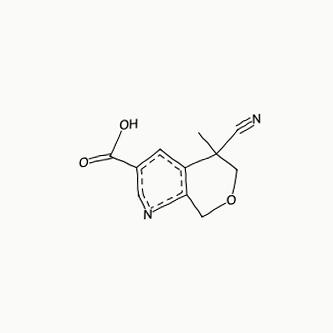 CC1(C#N)COCc2ncc(C(=O)O)cc21